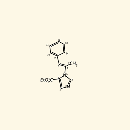 CCOC(=O)c1cncn1C(C)=Cc1ccccc1